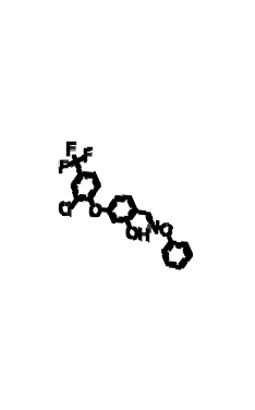 Oc1cc(Oc2ccc(C(F)(F)F)cc2Cl)ccc1C=NOc1ccccc1